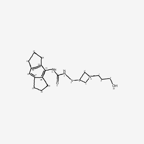 O=C(NSC1CN(CCCO)C1)Nc1c2c(cc3c1CCC3)CCC2